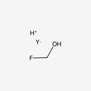 OCF.[H+].[Y]